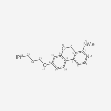 CNc1nccc2c1COc1cc(OCCCC(C)C)ccc1-2